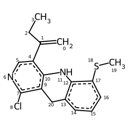 C=C(CC)c1cnc(Cl)c2c1Nc1c(cccc1SC)C2